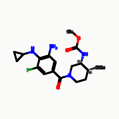 CO[C@@H]1CCN(C(=O)c2cc(N)c(NC3CC3)c(F)c2)C[C@@H]1NC(=O)OC(C)(C)C